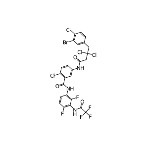 O=C(CC(Cl)(Cl)Cc1ccc(Cl)c(Br)c1)Nc1ccc(Cl)c(C(=O)Nc2ccc(F)c(NC(=O)C(F)(F)F)c2F)c1